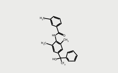 Cc1cc(C(O)(c2ccccc2)C(F)(F)F)cc(C)c1NC(=O)c1cccc(N)c1